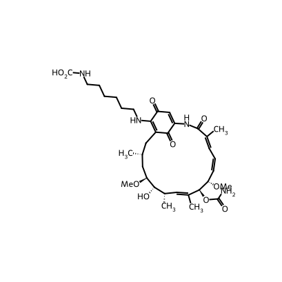 CO[C@H]1/C=C\C=C(/C)C(=O)NC2=CC(=O)C(NCCCCCCNC(=O)O)=C(C[C@@H](C)C[C@H](OC)[C@@H](O)[C@@H](C)/C=C(\C)[C@@H]1OC(N)=O)C2=O